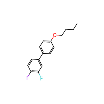 CCCCOc1ccc(-c2ccc(I)c(F)c2)cc1